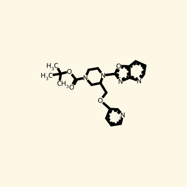 CC(C)(C)OC(=O)N1CCN(c2nc3ncccc3o2)C(COc2cccnc2)C1